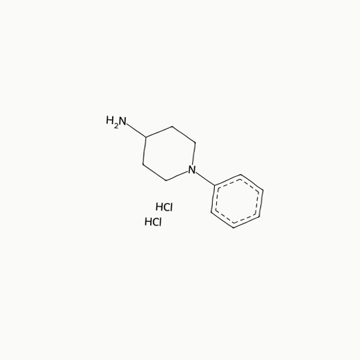 Cl.Cl.NC1CCN(c2ccccc2)CC1